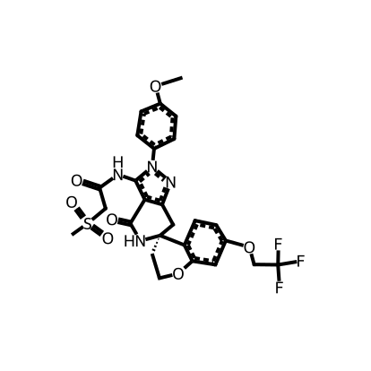 COc1ccc(-n2nc3c(c2NC(=O)CS(C)(=O)=O)C(=O)N[C@@]2(CCOc4cc(OCC(F)(F)F)ccc42)C3)cc1